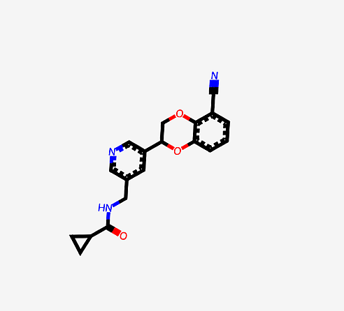 N#Cc1cccc2c1OCC(c1cncc(CNC(=O)C3CC3)c1)O2